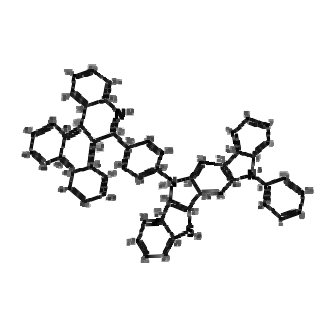 c1ccc(-n2c3ccccc3c3cc4c(cc32)c2sc3ccccc3c2n4-c2ccc(-c3nc4ccccc4c4c5ccccc5c5ccccc5c34)cc2)cc1